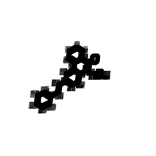 CCCCn1c(=O)c2ccccc2c2cc(/C=C/c3ccccc3)ccc21